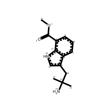 COC(=O)c1cccc2c(CC(C)(C)N)c[nH]c12